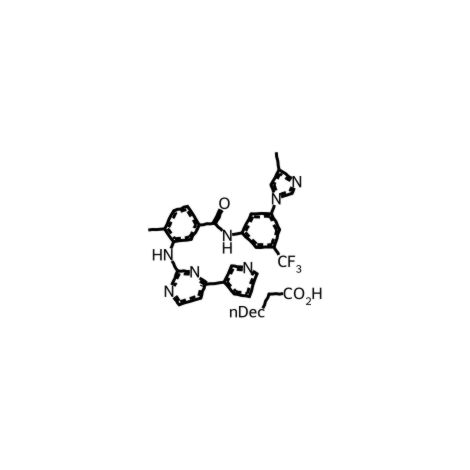 CCCCCCCCCCCC(=O)O.Cc1cn(-c2cc(NC(=O)c3ccc(C)c(Nc4nccc(-c5cccnc5)n4)c3)cc(C(F)(F)F)c2)cn1